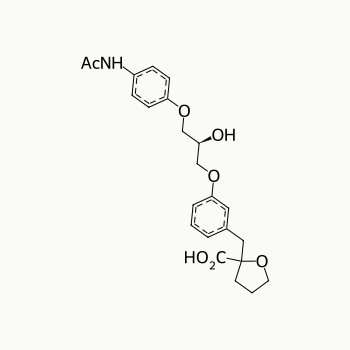 CC(=O)Nc1ccc(OC[C@@H](O)COc2cccc(CC3(C(=O)O)CCCO3)c2)cc1